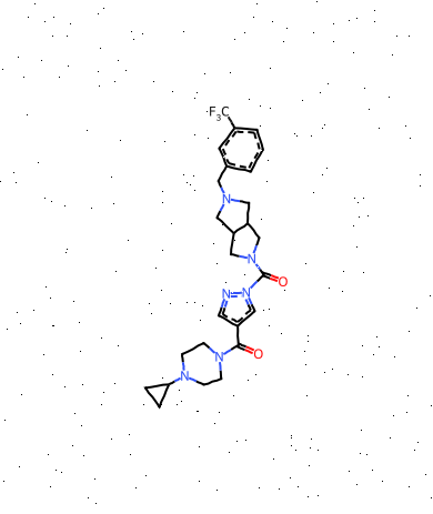 O=C(c1cnn(C(=O)N2CC3CN(Cc4cccc(C(F)(F)F)c4)CC3C2)c1)N1CCN(C2CC2)CC1